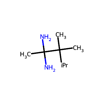 CC(C)C(C)(C)C(C)(N)N